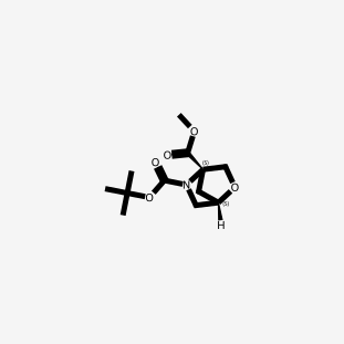 COC(=O)[C@]12CO[C@H](CN1C(=O)OC(C)(C)C)C2